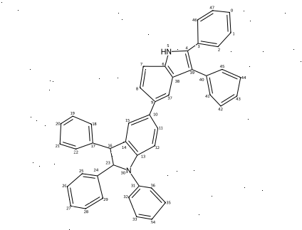 c1ccc(-c2[nH]c3ccc(-c4ccc5c(c4)C(c4ccccc4)C(c4ccccc4)N5c4ccccc4)cc3c2-c2ccccc2)cc1